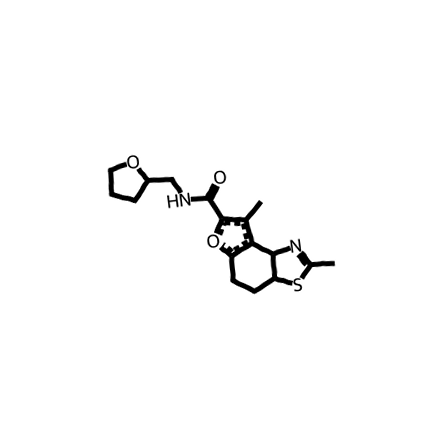 CC1=NC2c3c(oc(C(=O)NCC4CCCO4)c3C)CCC2S1